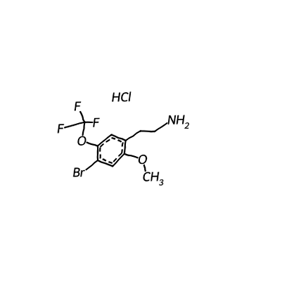 COc1cc(Br)c(OC(F)(F)F)cc1CCN.Cl